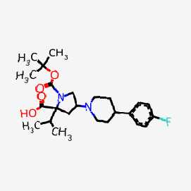 CC(C)C1(C(=O)O)CC(N2CCC(c3ccc(F)cc3)CC2)CN1C(=O)OC(C)(C)C